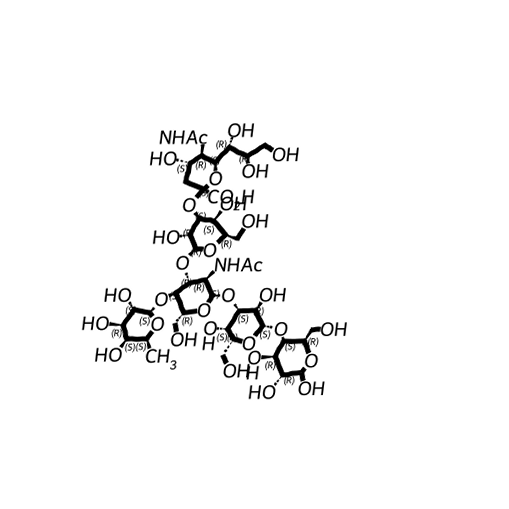 CC(=O)N[C@H]1[C@H](O[C@H]2[C@@H](O)[C@@H](CO)O[C@@H](O[C@H]3[C@H](O)[C@@H](O)C(O)O[C@@H]3CO)[C@@H]2O)O[C@H](CO)[C@@H](O[C@@H]2O[C@@H](C)[C@@H](O)[C@@H](O)[C@@H]2O)[C@@H]1O[C@@H]1O[C@H](CO)[C@H](O)[C@H](O[C@]2(C(=O)O)C[C@H](O)[C@@H](NC(C)=O)[C@@H]([C@H](O)[C@H](O)CO)O2)[C@H]1O